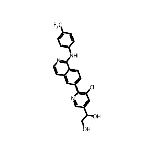 OC[C@H](O)c1cnc(-c2ccc3c(Nc4ccc(C(F)(F)F)cc4)nccc3c2)c(Cl)c1